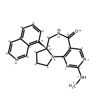 CNc1ncc2c(n1)N1CCC[C@]1(c1cccc3ccncc13)CNC2=O